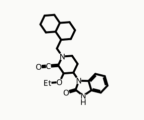 CCOC1C(=C=O)N(CC2CCCC3CCCCC32)CCC1n1c(=O)[nH]c2ccccc21